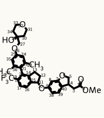 COC(=O)CC1COc2cc(OC3CCc4c3ccc(C(F)(F)F)c4-c3c(C)cc(OCC4(O)CCOCC4)cc3C)ccc21